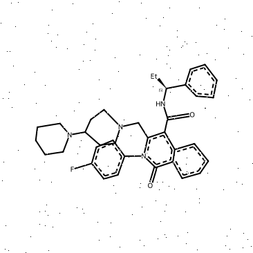 CC[C@H](NC(=O)c1c(CN2CCC(N3CCCCC3)CC2)n(-c2ccc(F)cc2)c(=O)c2ccccc12)c1ccccc1